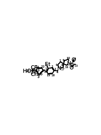 CCc1cc(CN2CCC3(CCN(S(C)(=O)=O)C3)C2)ccc1-c1ccc(C(O)(C(F)(F)F)C(F)(F)F)cc1